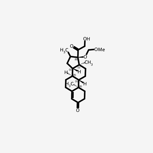 COCO[C@]1(C(=O)CO)C(C)C[C@H]2[C@@H]3CCC4=CC(=O)CC[C@]4(C)[C@H]3CC[C@@]21C